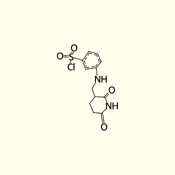 O=C1CCC(CNc2cccc(S(=O)(=O)Cl)c2)C(=O)N1